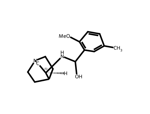 COc1ccc(C)cc1C(O)N[C@@H]1CN2CCC1CC2